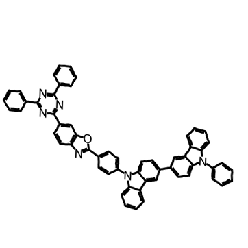 c1ccc(-c2nc(-c3ccccc3)nc(-c3ccc4nc(-c5ccc(-n6c7ccccc7c7cc(-c8ccc9c(c8)c8ccccc8n9-c8ccccc8)ccc76)cc5)oc4c3)n2)cc1